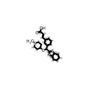 CN1CCC(OC(c2cccc(C=CC(=O)O)c2)c2nc3ccccc3s2)CC1